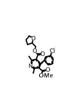 COC(=O)c1c(C)nc(C)c(C(=O)OCC2CCCO2)c1-c1cccc(Cl)c1